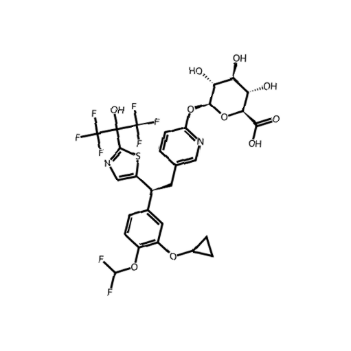 O=C(O)[C@H]1O[C@@H](Oc2ccc(C[C@@H](c3ccc(OC(F)F)c(OC4CC4)c3)c3cnc(C(O)(C(F)(F)F)C(F)(F)F)s3)cn2)[C@H](O)[C@@H](O)[C@@H]1O